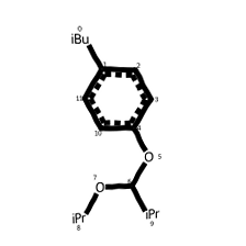 CCC(C)c1ccc(OC(OC(C)C)C(C)C)cc1